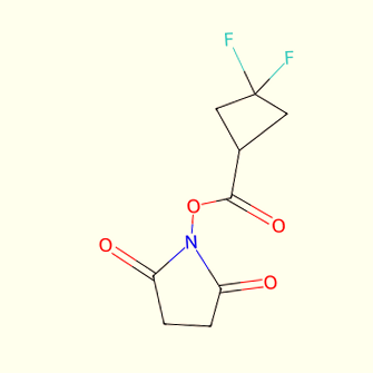 O=C(ON1C(=O)CCC1=O)C1CC(F)(F)C1